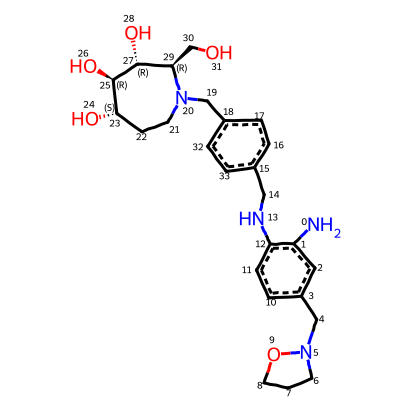 Nc1cc(CN2CCCO2)ccc1NCc1ccc(CN2CC[C@H](O)[C@@H](O)[C@H](O)[C@H]2CO)cc1